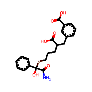 NC(=O)C(O)(SCCCC(Cc1cccc(C(=O)O)c1)C(=O)O)c1ccccc1